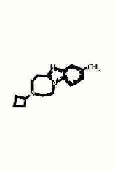 Cc1ccc2c(c1)nc1n2CCN(C2CCC2)CC1